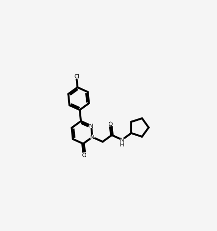 O=C(Cn1nc(-c2ccc(Cl)cc2)ccc1=O)NC1CCCC1